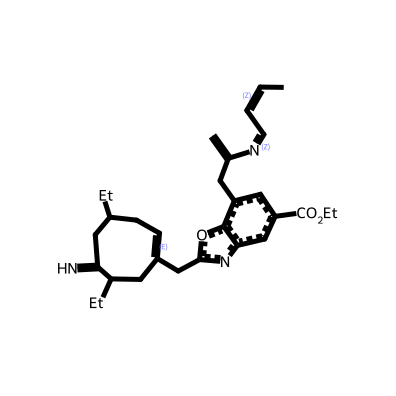 C=C(Cc1cc(C(=O)OCC)cc2nc(C/C3=C/CC(CC)CC(=N)C(CC)C3)oc12)/N=C\C=C/C